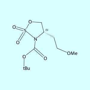 COCC[C@H]1COS(=O)(=O)N1C(=O)OC(C)(C)C